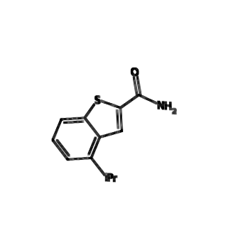 CC(C)c1cccc2sc(C(N)=O)cc12